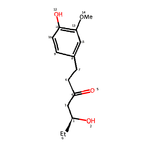 CC[C@H](O)CC(=O)CCc1ccc(O)c(OC)c1